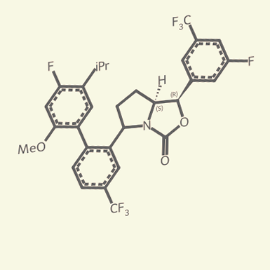 COc1cc(F)c(C(C)C)cc1-c1ccc(C(F)(F)F)cc1C1CC[C@H]2[C@@H](c3cc(F)cc(C(F)(F)F)c3)OC(=O)N12